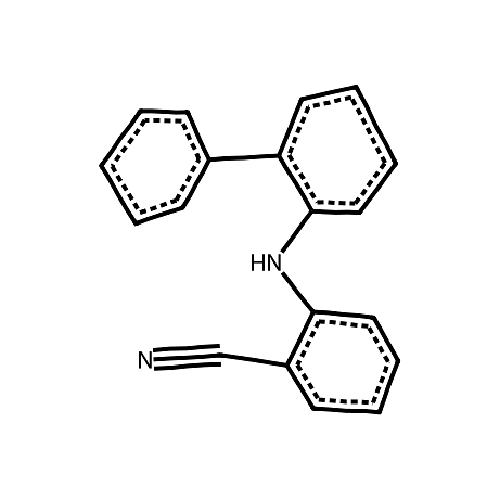 N#Cc1ccccc1Nc1ccccc1-c1ccccc1